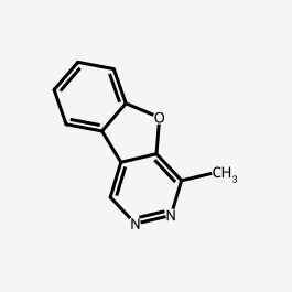 Cc1nncc2c1oc1ccccc12